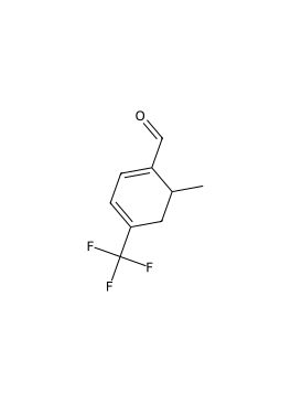 CC1CC(C(F)(F)F)=CC=C1C=O